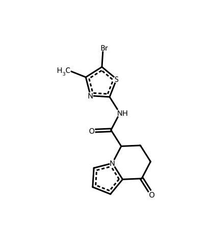 Cc1nc(NC(=O)C2CCC(=O)c3cccn32)sc1Br